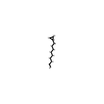 CCCCCCCC[CH]C1CC1